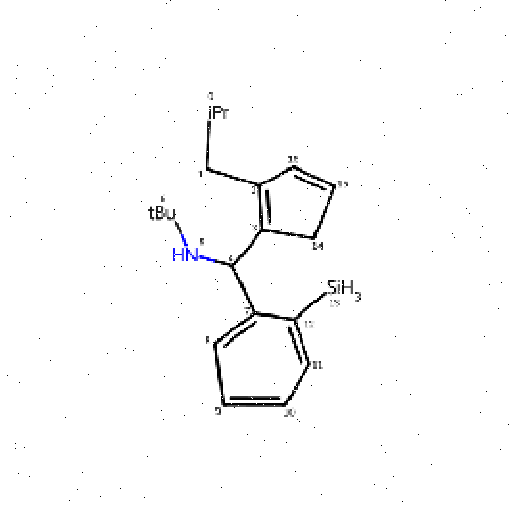 CC(C)CC1=C(C(NC(C)(C)C)c2ccccc2[SiH3])CC=C1